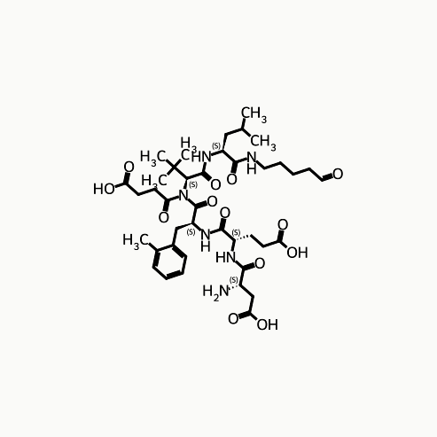 Cc1ccccc1C[C@H](NC(=O)[C@H](CCC(=O)O)NC(=O)[C@@H](N)CC(=O)O)C(=O)N(C(=O)CCC(=O)O)[C@H](C(=O)N[C@@H](CC(C)C)C(=O)NCCCCC=O)C(C)(C)C